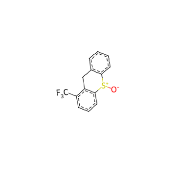 [O-][S+]1c2ccccc2Cc2c1cccc2C(F)(F)F